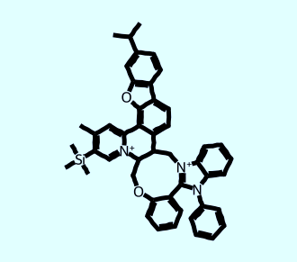 Cc1cc2[n+](cc1[Si](C)(C)C)C1COc3ccccc3-c3n(-c4ccccc4)c4ccccc4[n+]3CC1c1ccc3c(oc4cc(C(C)C)ccc43)c1-2